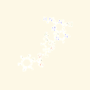 Nc1nc(Cl)c2ncn([C@@H]3O[C@H](COC(=O)c4ccccc4)C[C@@H]3F)c2n1